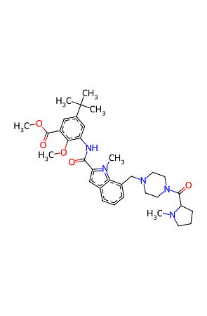 COC(=O)c1cc(C(C)(C)C)cc(NC(=O)c2cc3cccc(CN4CCN(C(=O)C5CCCN5C)CC4)c3n2C)c1OC